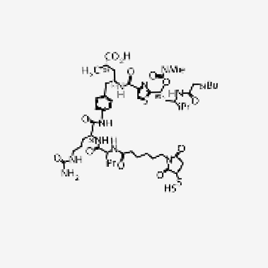 CC[C@H](C)CC(=O)NC(C[C@@H](OC(=O)NC)c1nc(C(=O)N[C@@H](Cc2ccc(NC(=O)[C@H](CCCNC(N)=O)NC(=O)C(NC(=O)CCCCCN3C(=O)CC(SS)C3=O)C(C)C)cc2)C[C@H](C)C(=O)O)cs1)C(C)C